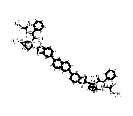 COC(=O)N[C@H](C(=O)N1[C@H](c2nc3ccc(-c4ccc5cc(-c6ccc7nc([C@@H]8C[C@H]9[C@@H](C)[C@H]9N8C(O)[C@H](NC(=O)OC)c8ccccc8)[nH]c7c6)ccc5c4)cc3[nH]2)C2C3[C@H]2[C@@H]31)c1ccccc1